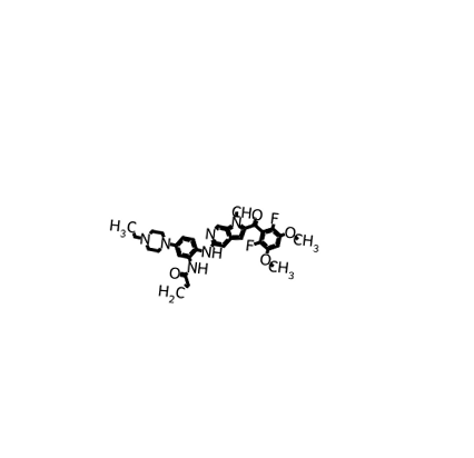 C=CC(=O)Nc1cc(N2CCN(CC)CC2)ccc1Nc1cc2cc(C(=O)c3c(F)c(OC)cc(OC)c3F)n(C)c2cn1